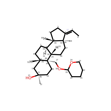 C/C=C1/CC[C@H]2[C@@H]3CC[C@H]4C[C@](C)(O)CC[C@]4(COC4CCCCO4)[C@H]3CC[C@]12C